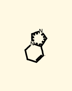 [C]1=CCCn2cncc21